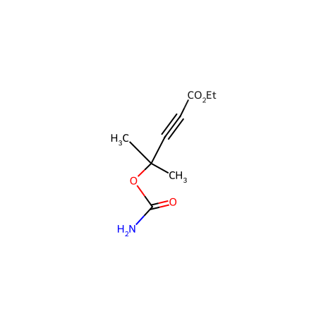 CCOC(=O)C#CC(C)(C)OC(N)=O